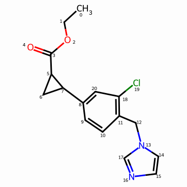 CCOC(=O)C1CC1c1ccc(Cn2ccnc2)c(Cl)c1